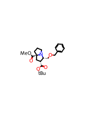 COC(=O)[C@@]12CCCN1[C@H](COCc1ccccc1)[C@H](C(=O)OC(C)(C)C)C2